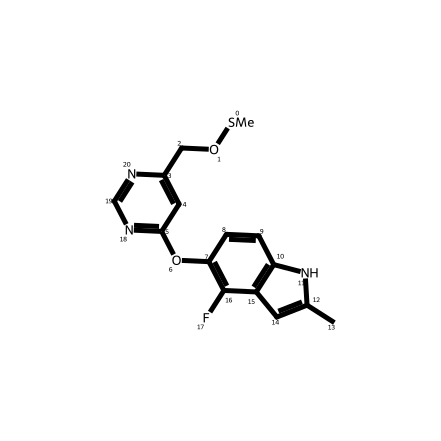 CSOCc1cc(Oc2ccc3[nH]c(C)cc3c2F)ncn1